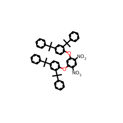 CC(C)(c1ccccc1)c1ccc(Oc2cc(Oc3ccc(C(C)(C)c4ccccc4)cc3C(C)(C)c3ccccc3)c([N+](=O)[O-])cc2[N+](=O)[O-])c(C(C)(C)c2ccccc2)c1